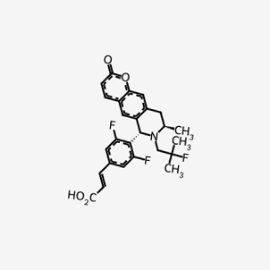 C[C@@H]1Cc2cc3oc(=O)ccc3cc2[C@@H](c2c(F)cc(/C=C/C(=O)O)cc2F)N1CC(C)(C)F